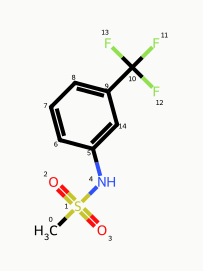 CS(=O)(=O)Nc1cccc(C(F)(F)F)c1